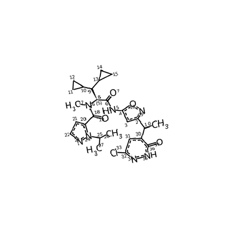 CC(c1cc(NC(=O)[C@H](C(C2CC2)C2CC2)N(C)C(=O)c2ccnn2C(C)C)on1)c1cc(Cl)n[nH]c1=O